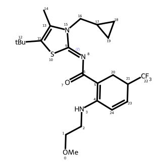 COCCNC1=C(C(=O)/N=c2\sc(C(C)(C)C)c(C)n2CC2CC2)CC(C(F)(F)F)C=C1